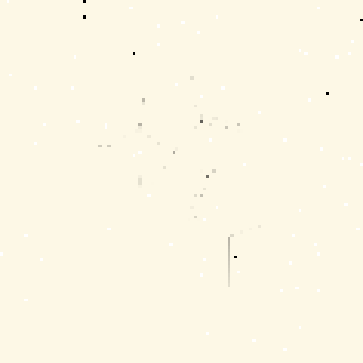 C=C1OCC(O)C1(O)/C=C/C(C)C